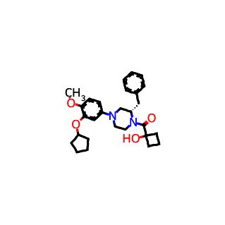 COc1ccc(N2CCN(C(=O)C3(O)CCC3)[C@@H](Cc3ccccc3)C2)cc1OC1CCCC1